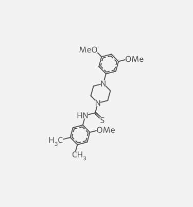 COc1cc(OC)cc(N2CCN(C(=S)Nc3cc(C)c(C)cc3OC)CC2)c1